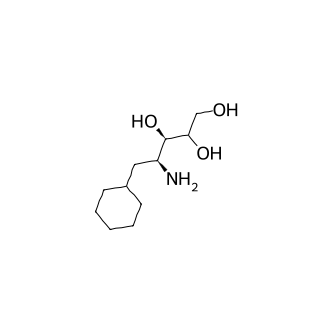 N[C@@H](CC1CCCCC1)[C@@H](O)C(O)CO